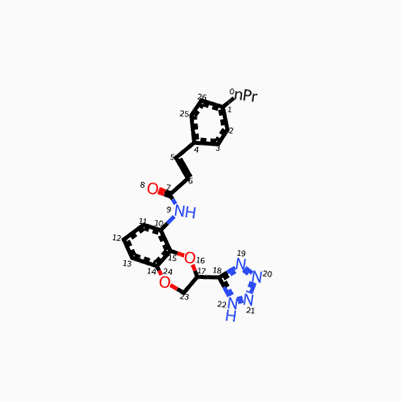 CCCc1ccc(C=CC(=O)Nc2cccc3c2OC(c2nnn[nH]2)CO3)cc1